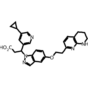 O=C(O)CC(c1cncc(C2CC2)c1)n1ncc2cc(OCCc3ccc4c(n3)NCCC4)ccc21